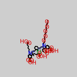 COCCOCCOCCOCCOCCN1/C(=C/C=C2\CCCC(/C=C/C3=[N+](CCCCCC(=O)O)c4ccc(S(=O)(=O)O)cc4C3(C)CCCS(=O)(=O)O)=C2Cl)C(C)(CCCS(=O)(=O)O)c2cc(S(=O)(=O)O)ccc21